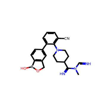 CN(C=N)C(=N)C1CCN(c2c(C#N)cccc2-c2ccc3c(c2)COB3O)CC1